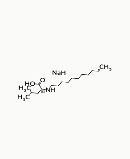 C=CCCCCCCCCCN[C@@H](CC(C)C)C(=O)O.[NaH]